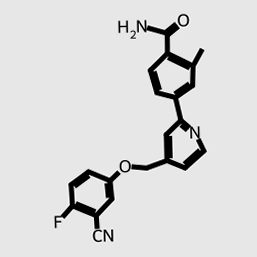 Cc1cc(-c2cc(COc3ccc(F)c(C#N)c3)ccn2)ccc1C(N)=O